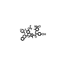 COc1cccc(CN(C(=O)c2cc(-c3cc(OC(F)F)c(F)cc3C(=O)N3Cc4ccccc4C[C@H]3CN3CCOCC3)n(C)c2C)c2ccc(O)cc2)c1C